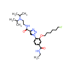 CCNC(=O)c1ccc(-n2cc(C(=O)NCCN(C(C)C)C(C)C)nn2)c(OCCCCCCF)c1